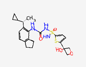 C[C@H](c1ccc2c(c1NC(=O)NS(=N)(=O)c1ccc(C3(O)COC3)s1)CCC2)C1CC1